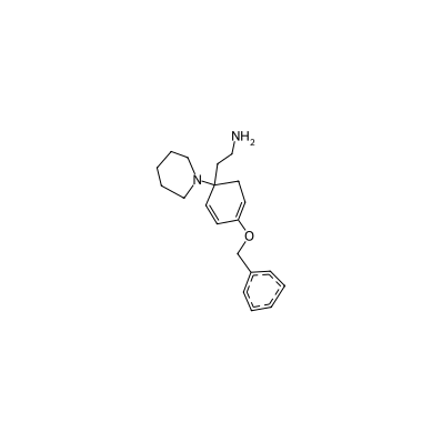 NCCC1(N2CCCCC2)C=CC(OCc2ccccc2)=CC1